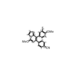 COc1ncc(-c2c(-c3ccc(C#N)cc3)nc(OC)n3ccnc23)cc1F